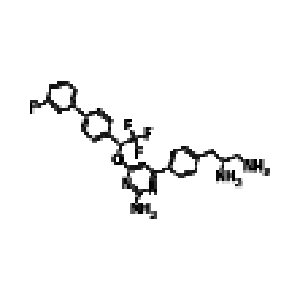 NCC(N)Cc1ccc(-c2cc(OC(c3ccc(-c4cccc(F)c4)cc3)C(F)(F)F)nc(N)n2)cc1